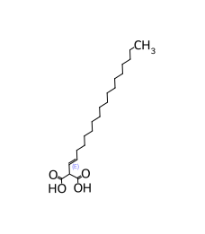 CCCCCCCCCCCCCCCC/C=C/C(C(=O)O)C(=O)O